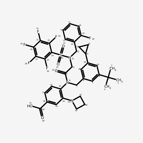 CC(C)(C)c1cc(CN(C(=O)CN(Cc2ccccc2F)S(=O)(=O)c2c(F)c(F)c(F)c(F)c2F)c2ccc(C(=O)O)cc2N2CCC2)cc(C2CC2)c1